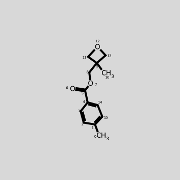 Cc1ccc(C(=O)OCC2(C)COC2)cc1